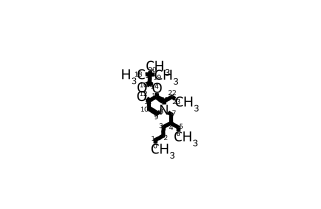 CCCCC(CC)Cn1ccc(=O)c(OC(=O)C(C)(C)C)c1CC